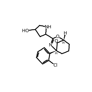 O=C1[C@H]2CCC[C@]1(c1ccccc1Cl)N=C(C1CC(O)CN1)O2